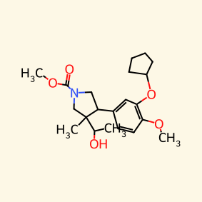 COC(=O)N1CC(c2ccc(OC)c(OC3CCCC3)c2)C(C)(C(C)O)C1